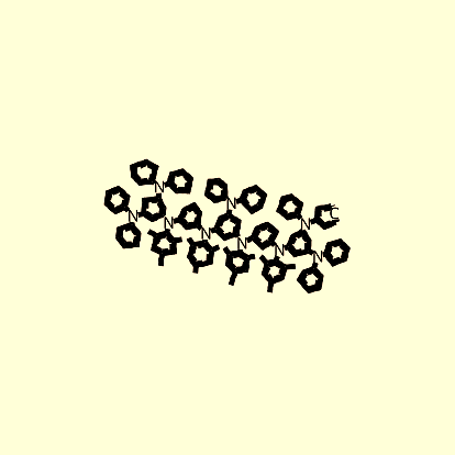 Cc1cc(C)c(N(c2cc(N(c3ccccc3)c3ccccc3)cc(N(c3ccccc3)c3ccccc3)c2)c2cccc(N(c3cc(N(c4ccccc4)c4ccccc4)cc(N(c4cccc(N(c5cc(N(c6ccccc6)c6ccccc6)cc(N(c6ccccc6)c6ccccc6)c5)c5c(C)cc(C)cc5C)c4)c4c(C)cc(C)cc4C)c3)c3c(C)cc(C)cc3C)c2)c(C)c1